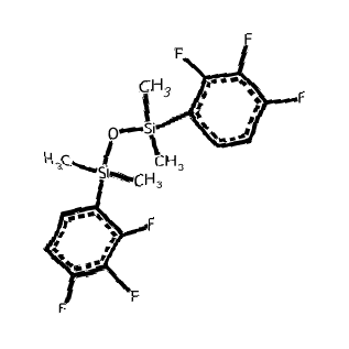 C[Si](C)(O[Si](C)(C)c1ccc(F)c(F)c1F)c1ccc(F)c(F)c1F